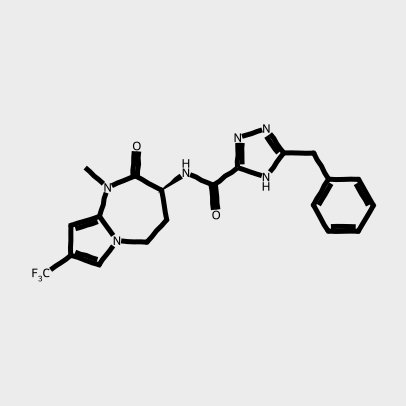 CN1C(=O)[C@@H](NC(=O)c2nnc(Cc3ccccc3)[nH]2)CCn2cc(C(F)(F)F)cc21